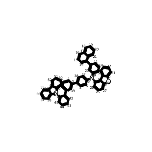 c1cc(-c2ccc(N(c3cccc(-c4cccc5ccccc45)c3)c3cccc4oc5ccccc5c34)cc2)cc(-c2ccccc2-n2c3ccccc3c3ccccc32)c1